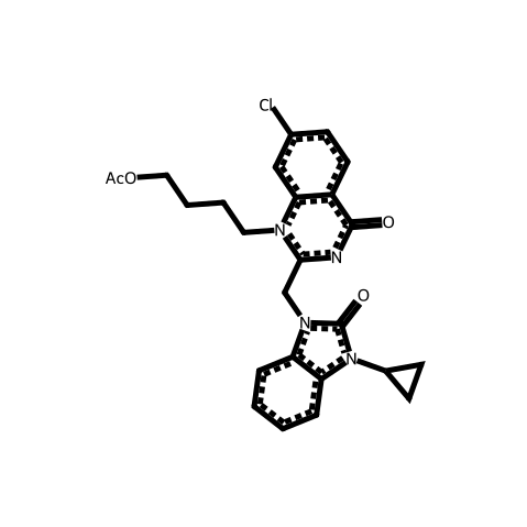 CC(=O)OCCCCn1c(Cn2c(=O)n(C3CC3)c3ccccc32)nc(=O)c2ccc(Cl)cc21